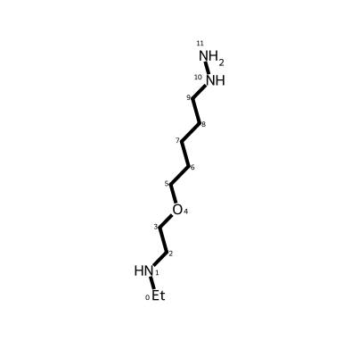 CCNCCOCCCCCNN